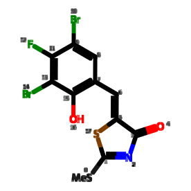 CSC1=NC(=O)C(=Cc2cc(Br)c(F)c(Br)c2O)S1